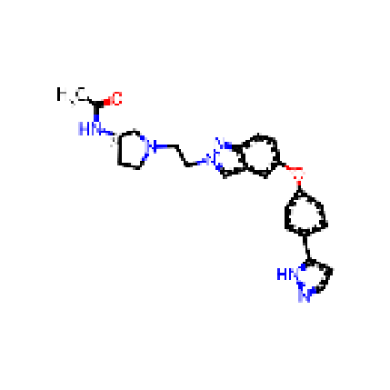 CC(=O)N[C@@H]1CCN(CCn2cc3cc(Oc4ccc(-c5ccn[nH]5)cc4)ccc3n2)C1